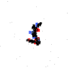 CCCCNC(=O)[C@@H](C[C@H](O)[C@@H](N)C[C@H](CNC(=O)Oc1ncccc1OCCCCOC)C(C)C)C(C)C